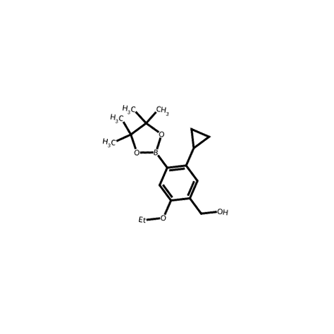 CCOc1cc(B2OC(C)(C)C(C)(C)O2)c(C2CC2)cc1CO